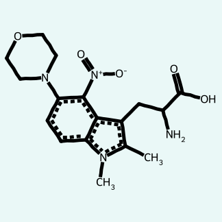 Cc1c(CC(N)C(=O)O)c2c([N+](=O)[O-])c(N3CCOCC3)ccc2n1C